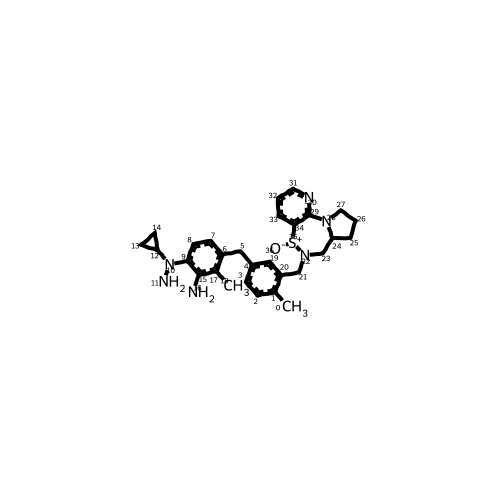 Cc1ccc(Cc2ccc(N(N)C3CC3)c(N)c2C)cc1CN1CC2CCCN2c2ncccc2[S+]1[O-]